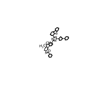 CC1(C)C2=CCC3N=C(c4ccccc4)OC3=C2c2ccc(-c3nc(-c4ccc(-c5ccccc5)cc4)nc(-c4cccc5c4sc4ccccc45)n3)cc21